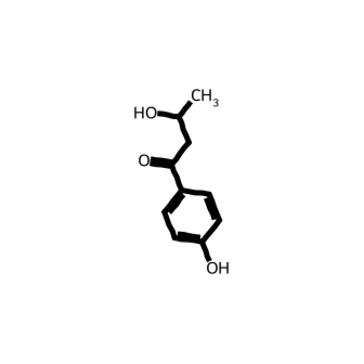 CC(O)CC(=O)c1ccc(O)cc1